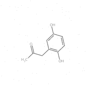 CC(=O)Cc1cc(O)ccc1O